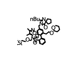 CCCCC1=NC2(CCCC2)C(=O)N1Cc1ccc(-c2ccccc2S(=O)(=O)N(COCC[Si](C)(C)C)c2onc(C)c2C)c(CCOC2CCCCO2)c1